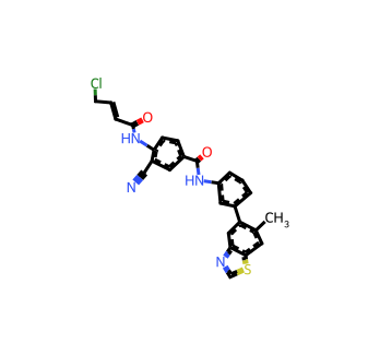 Cc1cc2scnc2cc1-c1cccc(NC(=O)c2ccc(NC(=O)C=CCCl)c(C#N)c2)c1